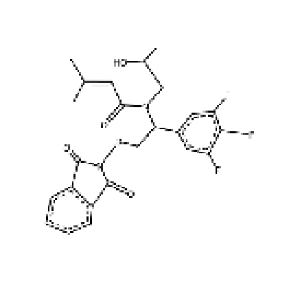 CC(C)=CC(=O)N(CC(C)O)C(CON1C(=O)c2ccccc2C1=O)c1cc(F)c(F)c(F)c1